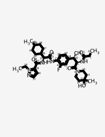 CCC(=O)N[C@@H](C(=O)N1CCC(C)(O)CC1)[C@@H](C)c1ccc(NC(=O)[C@@H](NC(=O)c2ccnn2CC)C2CCC(C)CC2)c(F)c1